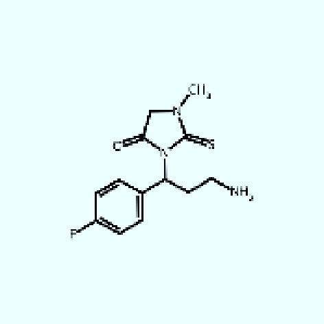 CN1CC(=O)N(C(CCN)c2ccc(F)cc2)C1=S